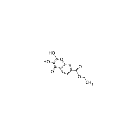 CCOC(=O)c1ccc2c(=O)c(O)c(O)oc2c1